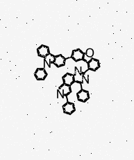 c1ccc(-c2cc3c(ccc4nc(-c5cccc6oc7ccc(-c8ccc9c(c8)c8ccccc8n9-c8ccccc8)cc7c56)nc(-c5ccccc5)c43)cn2)cc1